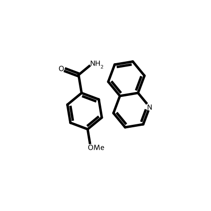 COc1ccc(C(N)=O)cc1.c1ccc2ncccc2c1